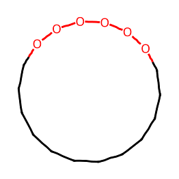 C1CCCCCCOOOOOOCCCCC1